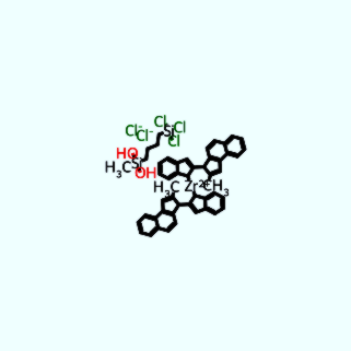 CC1=Cc2c(ccc3ccccc23)C1C1=Cc2ccccc2[CH]1[Zr+2][CH]1C(C2C(C)=Cc3c2ccc2ccccc32)=Cc2ccccc21.C[Si](O)(O)CCCC[Si](Cl)(Cl)Cl.[Cl-].[Cl-]